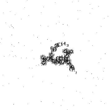 COCCOC(=O)CCc1ccc(N(c2ccc(N(c3ccccc3)c3ccccc3)cc2)c2ccc3sc(-c4sc5ccc(N(c6ccc(CCC(C)=O)cc6)c6ccc(N(c7ccccc7)c7ccccc7)cc6)cc5c4C)c(C)c3c2)cc1